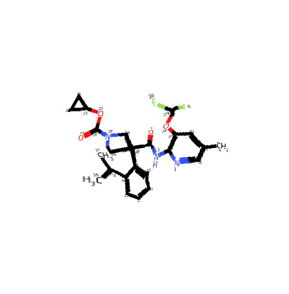 Cc1cnc(NC(=O)C2(c3ccccc3C(C)C)CN(C(=O)OC3CC3)C2)c(OC(F)F)c1